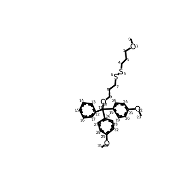 COCCCSSCCCOC(c1ccccc1)(c1ccc(OC)cc1)c1ccc(OC)cc1